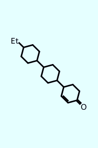 CCC1CCC(C2CCC(C3C=CC(=O)CC3)CC2)CC1